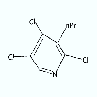 CCCc1c(Cl)ncc(Cl)c1Cl